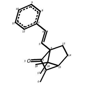 CC1C(=O)C2(C=Cc3ccccc3)CCC1C2(C)C